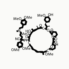 CO[C@H]1C[C@@H]2CC[C@@H](C)[C@@](O)(O2)C(=O)C(=O)N2CCCC[C@H]2C(=O)O[C@H]([C@H](C)C[C@@H]2CC[C@@H](O)[C@H](OC)C2)CC(=O)[C@H](C)/C=C(\C)[C@@H](O)[C@@H](OC)C(=O)[C@H](C)C[C@H](C)/C=C/C=C/C=C/1C.COc1ccc(CCN(C)CCCC(C#N)(c2ccc(OC)c(OC)c2)C(C)C)cc1OC